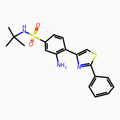 CC(C)(C)NS(=O)(=O)c1ccc(-c2csc(-c3cc[c]cc3)n2)c(N)c1